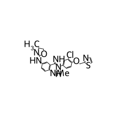 CNc1ccc(NC2=NC(C)CO2)cc1C(=N)Nc1ccc(OCc2nccs2)c(Cl)c1